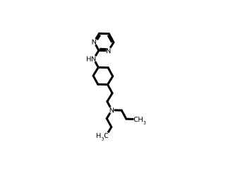 CCCN(CCC)CCC1CCC(Nc2ncccn2)CC1